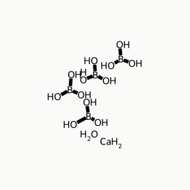 O.OB(O)O.OB(O)O.OB(O)O.OB(O)O.[CaH2]